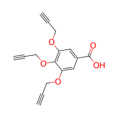 C#CCOc1cc(C(=O)O)cc(OCC#C)c1OCC#C